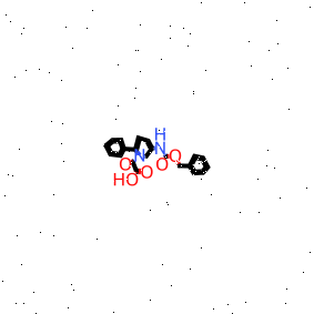 O=C(NC1=CC=C(c2ccccc2)N(C(=O)C(=O)O)C1)OCc1ccccc1